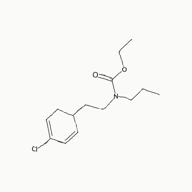 CCCN(CCC1C=CC(Cl)=CC1)C(=O)OCC